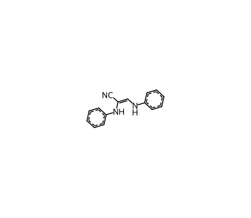 N#CC(=CNc1ccccc1)Nc1ccccc1